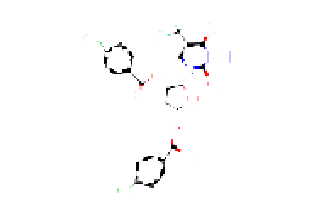 O=C(OC[C@@H]1C[C@@H](OC(=O)c2ccc(Cl)cc2)[C@H](n2cc(C(F)(F)F)c(=O)[nH]c2=O)O1)c1ccc(Cl)cc1